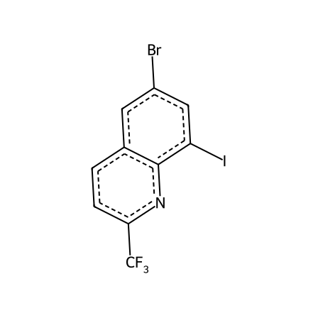 FC(F)(F)c1ccc2cc(Br)cc(I)c2n1